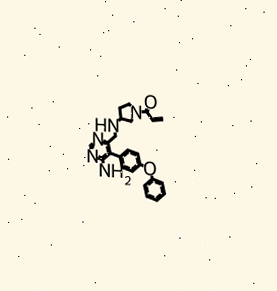 C=CC(=O)N1CCC(NCc2ncnc(N)c2-c2ccc(Oc3ccccc3)cc2)C1